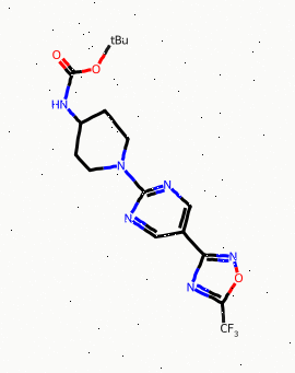 CC(C)(C)OC(=O)NC1CCN(c2ncc(-c3noc(C(F)(F)F)n3)cn2)CC1